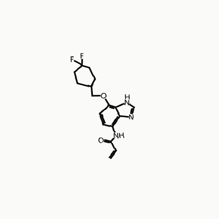 C=CC(=O)Nc1ccc(OCC2CCC(F)(F)CC2)c2[nH]cnc12